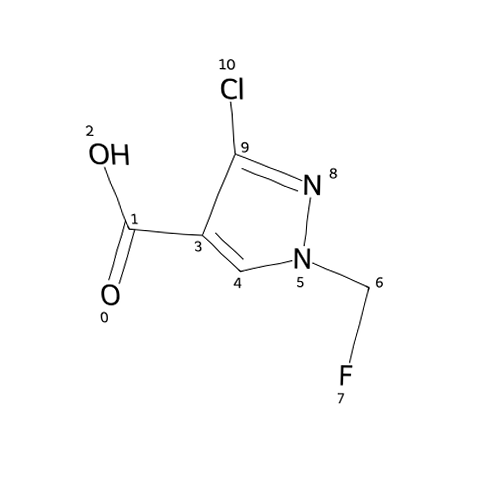 O=C(O)c1cn(CF)nc1Cl